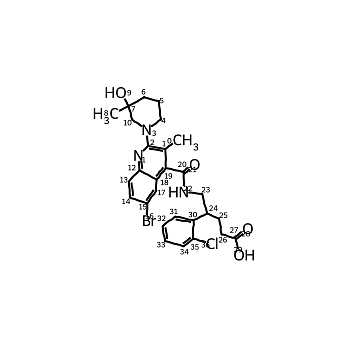 Cc1c(N2CCCC(C)(O)C2)nc2ccc(Br)cc2c1C(=O)NCC(CCC(=O)O)c1ccccc1Cl